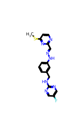 CSc1ccnc(/C=N/Nc2cccc(CNc3ncc(F)cn3)c2)n1